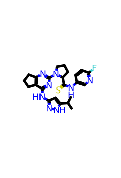 CC(C)c1cc(Nc2nc(N3CCCC3C(=S)Nc3ccc(F)nc3)nc3c2CCC3)n[nH]1